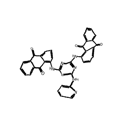 O=C1c2ccccc2C(=O)c2c(Nc3nc(Nc4ccccn4)nc(Nc4cccc5c4C(=O)c4ccccc4C5=O)n3)cccc21